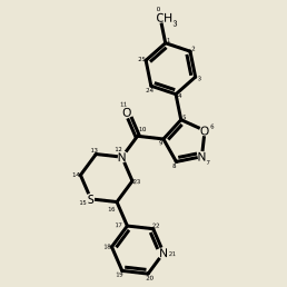 Cc1ccc(-c2oncc2C(=O)N2CCSC(c3cccnc3)C2)cc1